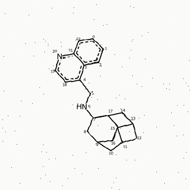 c1ccc2c(CNC34CC5CC6CC(C3)C6(C5)C4)ccnc2c1